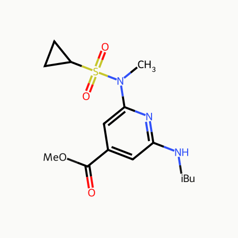 CCC(C)Nc1cc(C(=O)OC)cc(N(C)S(=O)(=O)C2CC2)n1